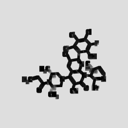 C=CC(=O)N1[C@H](C)CN(c2c(C#N)c(=O)n(C3C(C(C)C)=NC=C[C@H]3C)c3nc(-c4c(O)c(F)c(Cl)c(Cl)c4Cl)c(Cl)cc23)C[C@@H]1C